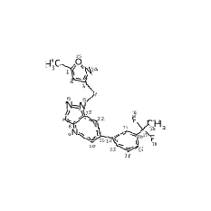 Cc1cc(Cn2ncc3ncc(-c4cccc(C(C)(F)F)c4)cc32)no1